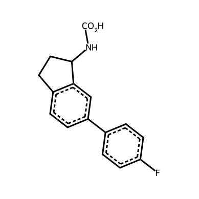 O=C(O)NC1CCc2ccc(-c3ccc(F)cc3)cc21